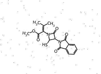 COC(=O)C(=C(C)C)N1C(=O)C(N2C(=O)c3ccccc3C2=O)C1S